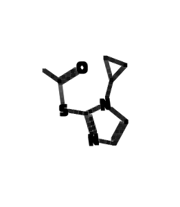 CC(=O)Sc1nccn1C1CC1